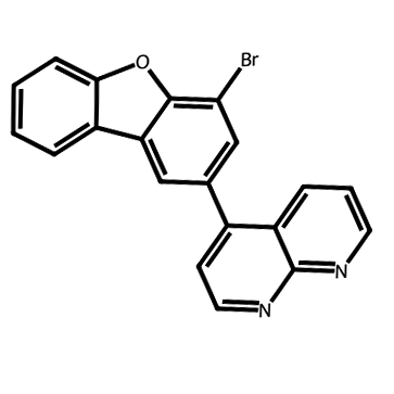 Brc1cc(-c2ccnc3ncccc23)cc2c1oc1ccccc12